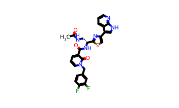 CC(=O)NC[C@@H](NC(=O)c1cccn(Cc2ccc(F)c(F)c2)c1=O)c1nc(-c2c[nH]c3ncccc23)cs1